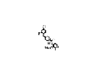 COc1c(NC(=O)N2CCC(=Cc3ccc(Cl)cc3F)CC2)ccnc1C